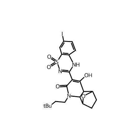 CC(C)(C)CCN1C(=O)C(C2=NS(=O)(=O)c3cc(I)ccc3N2)=C(O)C2C3CCC(O3)C21